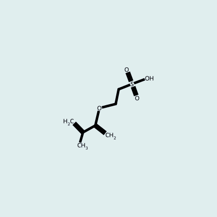 C=C(C)C(=C)OCCS(=O)(=O)O